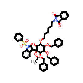 CCOC1(c2cn(S(=O)(=O)c3ccccc3)c3ccccc23)C(O)C(OCCCCCCN2C(=O)c3ccccc3C2=O)C(OCc2ccccc2)C(OCc2ccccc2)C1OCc1ccccc1